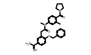 Cc1cc(N(C)C(=O)Cc2cc(C(=N)N)ccc2OCc2ccccc2)ccc1C(=O)N1CCCC1